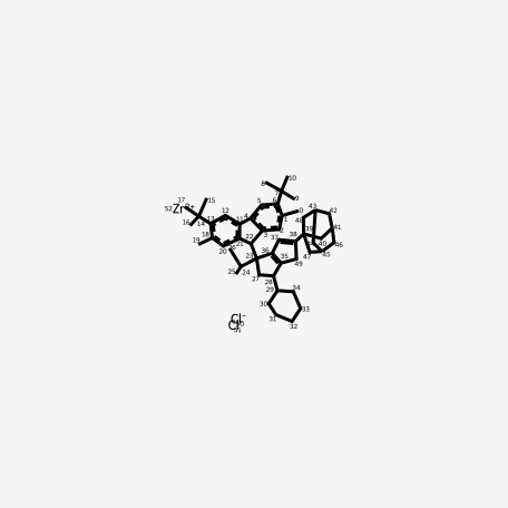 Cc1cc2c(cc1C(C)(C)C)-c1cc(C(C)(C)C)c(C)cc1C2C1(C(C)C)CC(C2CCCCC2)C2=C1C=C(C13CC4CC(CC(C4)C1)C3)C2.[Cl-].[Cl-].[Zr+2]